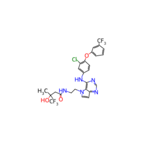 CC(O)(CC(=O)NCCn1ccc2ncnc(Nc3ccc(Oc4cccc(C(F)(F)F)c4)c(Cl)c3)c21)C(F)(F)F